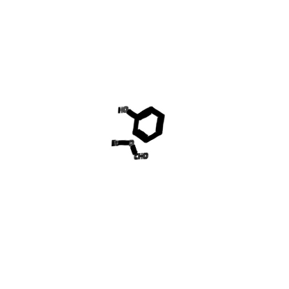 CCOC=O.Oc1ccccc1